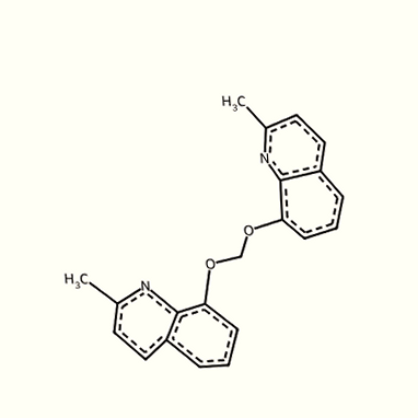 Cc1ccc2cccc(OCOc3cccc4ccc(C)nc34)c2n1